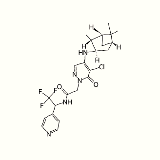 C[C@@H]1[C@H]2C[C@@H](C[C@H]1Nc1cnn(CC(=O)NC(c3ccncc3)C(F)(F)F)c(=O)c1Cl)C2(C)C